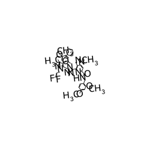 COc1ccc(Cn2c(-c3nc(C(=O)NCc4ccc(OC)cc4OC)cc4c3cnn4C)nnc2-c2c(OCc3ccccc3)c(C)nn2CC=C(F)F)cc1